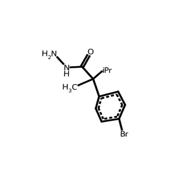 CC(C)C(C)(C(=O)NN)c1ccc(Br)cc1